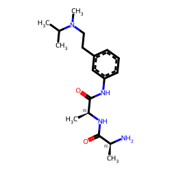 CC(C)N(C)CCc1cccc(NC(=O)[C@H](C)NC(=O)[C@H](C)N)c1